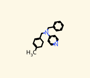 CC1=CC=C(CN(Cc2ccccc2)c2ccncc2)CC1